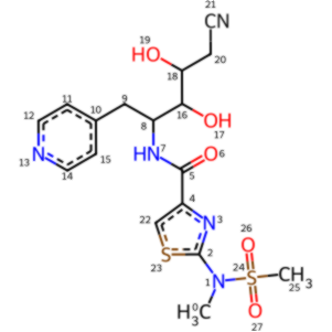 CN(c1nc(C(=O)NC(Cc2ccncc2)C(O)C(O)CC#N)cs1)S(C)(=O)=O